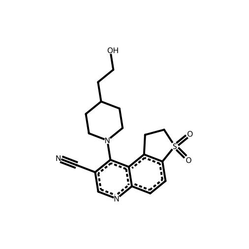 N#Cc1cnc2ccc3c(c2c1N1CCC(CCO)CC1)CCS3(=O)=O